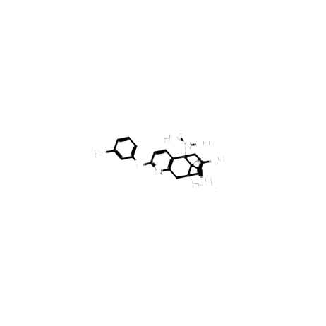 C=C[C@@H]1[C@H]2C=C(C)C[C@]1(N(C)C)c1ccc(Oc3cccc(Br)c3)nc1C2